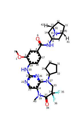 COc1cc(C(=O)NC2C[C@H]3CC[C@@H](C2)N3C)ccc1Nc1ncc2c(n1)N(C1CCCC1)CC(F)(F)C(=O)N2C